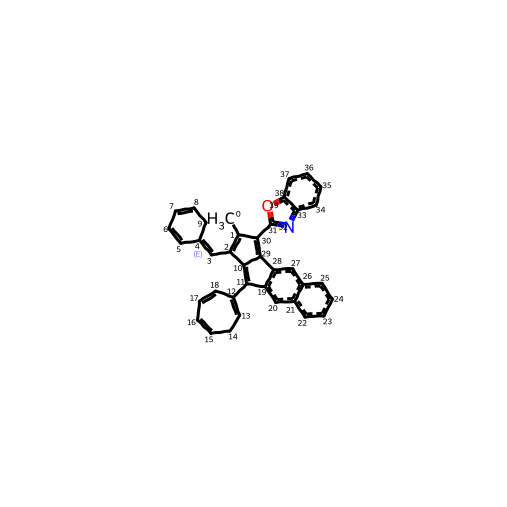 CC1=C(/C=C2/C=CC=CC2)C2=C(C3=CCC=CC=C3)c3cc4ccccc4cc3C2=C1c1nc2ccccc2o1